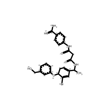 CC(NC(=O)CC(=O)Nc1ccc(C(=N)N)cc1)C1=CCC(Oc2cccc(CO)c2)C(Br)=C1